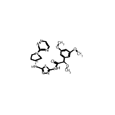 COc1cc(OC)cc(C(OC)C(=O)Nc2nnc(N[C@@H]3CCN(c4nccnn4)C3)s2)c1